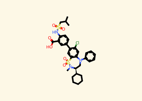 CC(C)CS(=O)(=O)Nc1ccc(-c2cc3c(cc2Cl)N(c2ccccc2)C[C@@H](C2CCCCC2)N(C)S3(=O)=O)cc1C(=O)O